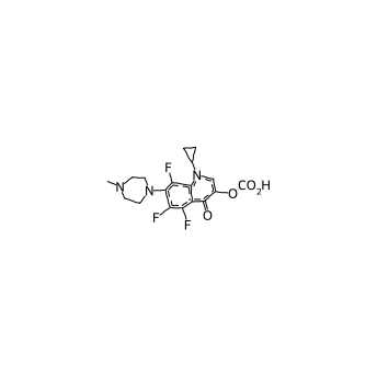 CN1CCN(c2c(F)c(F)c3c(=O)c(OC(=O)O)cn(C4CC4)c3c2F)CC1